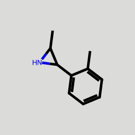 Cc1ccccc1C1NC1C